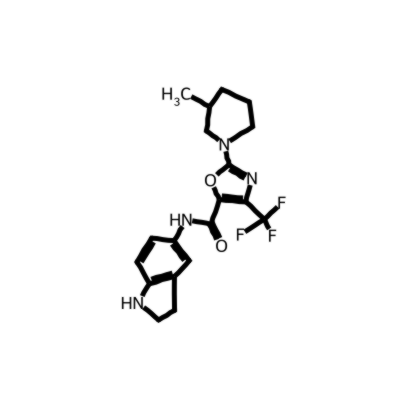 CC1CCCN(c2nc(C(F)(F)F)c(C(=O)Nc3ccc4c(c3)CCN4)o2)C1